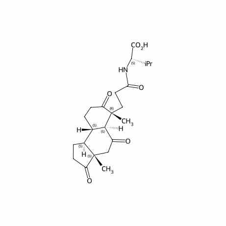 CC(C)[C@H](NC(=O)CC[C@@]1(C)C(=O)CC[C@@H]2[C@@H]1C(=O)C[C@]1(C)C(=O)CC[C@@H]21)C(=O)O